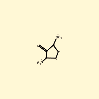 C=C1C(N)CCC1N